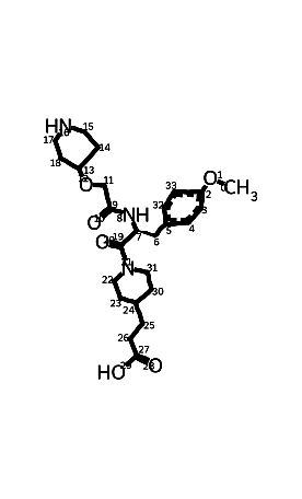 COc1ccc(C[C@H](NC(=O)COC2CCNCC2)C(=O)N2CCC(CCC(=O)O)CC2)cc1